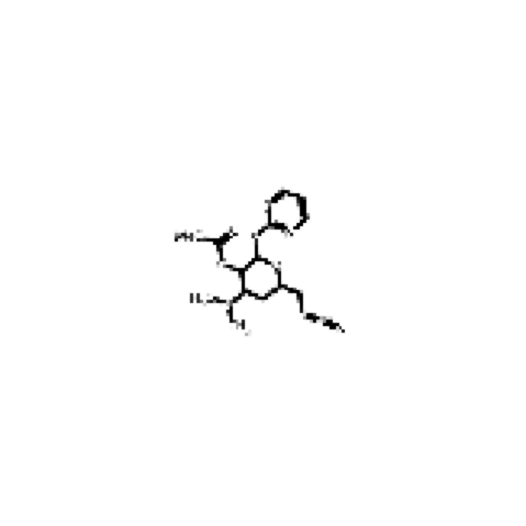 COC(=O)OC1C(Sc2ncccn2)OC(CN=[N+]=[N-])CC1N(C)C